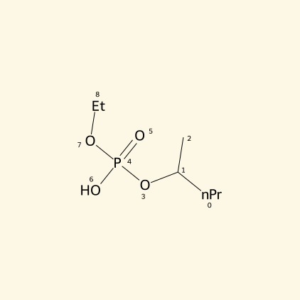 CCCC(C)OP(=O)(O)OCC